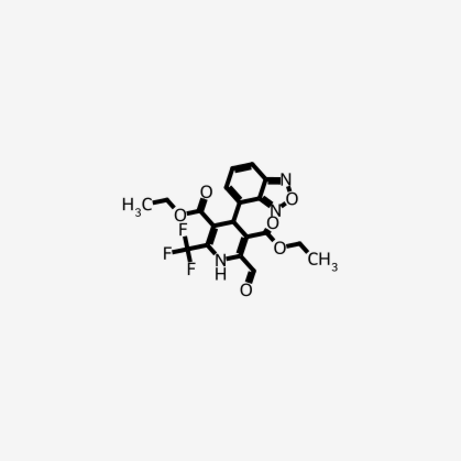 CCOC(=O)C1=C(C=O)NC(C(F)(F)F)=C(C(=O)OCC)C1c1cccc2nonc12